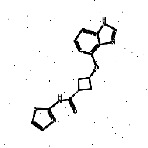 O=C(Nc1nccs1)[C@H]1C[C@H](Oc2cccc3[nH]cnc23)C1